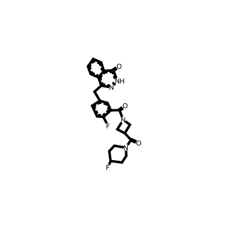 O=C(c1cc(Cc2n[nH]c(=O)c3ccccc23)ccc1F)N1CC(C(=O)N2CCC(F)CC2)C1